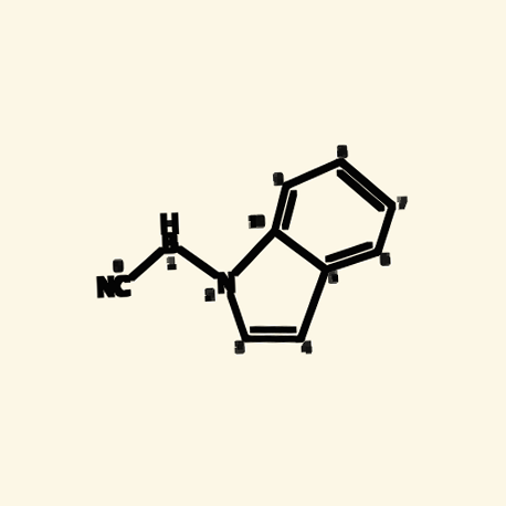 N#CBn1ccc2ccccc21